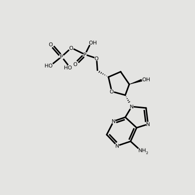 Nc1ncnc2c1ncn2[C@@H]1O[C@H](COP(=O)(O)OP(=O)(O)O)C[C@H]1O